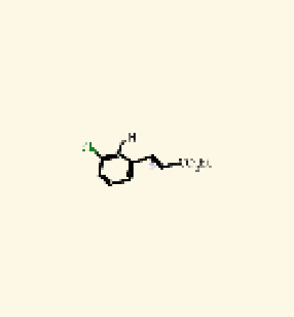 CCOC(=O)/C=C/c1cccc(Cl)c1C#N